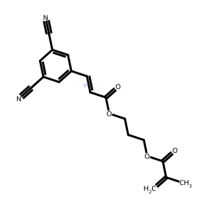 C=C(C)C(=O)OCCCOC(=O)/C=C/c1cc(C#N)cc(C#N)c1